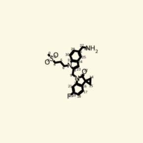 CS(=O)(=O)CCCn1c(CN2C(=O)C3(CC3)c3ccc(F)cc32)cc2cc(CN)ccc21